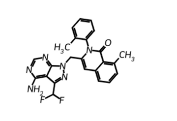 Cc1ccccc1-n1c(Cn2nc(C(F)F)c3c(N)ncnc32)cc2cccc(C)c2c1=O